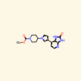 CC(C)(C)OC(=O)N1CCC(n2ccc(-c3ccnc4[nH]c(=O)[nH]c34)c2)CC1